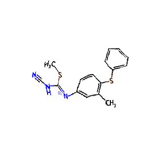 CS/C(=N\c1ccc(Sc2ccccc2)c(C)c1)NC#N